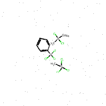 CO[Si](C)(Cl)Cl.C[Si](Cl)(Cl)Cl.Cl[Si](Cl)(Cl)c1ccccc1